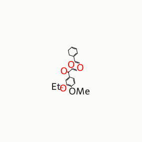 CCOc1cc(C(=O)C2=COC=C(C3=CC=CCC3)O2)ccc1OC